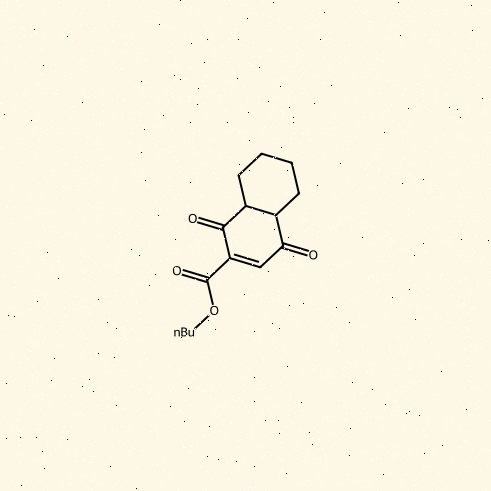 CCCCOC(=O)C1=CC(=O)C2CCCCC2C1=O